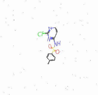 Cc1ccc(S(=O)(=O)Nc2ccnc(Cl)n2)cc1